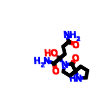 NC(=O)CC[C@](O)(C(N)=O)N1CCC2(CCCN2)C1=O